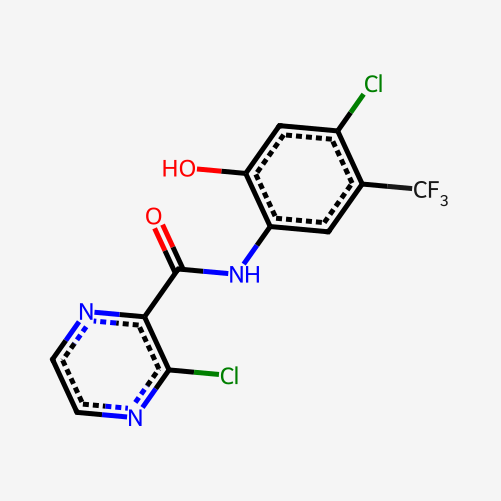 O=C(Nc1cc(C(F)(F)F)c(Cl)cc1O)c1nccnc1Cl